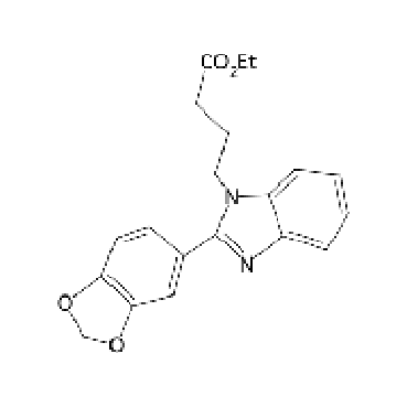 CCOC(=O)CCCn1c(-c2ccc3c(c2)OCO3)nc2ccccc21